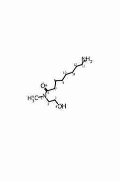 CN(CCO)C(=O)CCCCCCCN